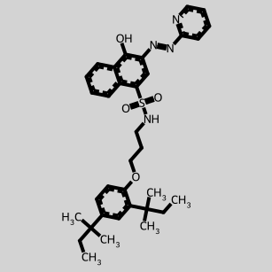 CCC(C)(C)c1ccc(OCCCNS(=O)(=O)c2cc(N=Nc3ccccn3)c(O)c3ccccc23)c(C(C)(C)CC)c1